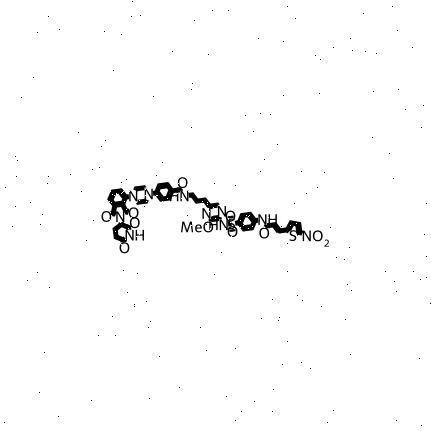 COc1nc(CCCNC(=O)c2ccc(N3CCN(c4cccc5c4C(=O)N(C4CCC(=O)NC4=O)C5=O)CC3)cc2)cnc1NS(=O)(=O)c1ccc(NC(=O)/C=C/c2ccc([N+](=O)[O-])s2)cc1